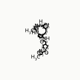 Cc1cc(C(=O)N2CCC(CC(=O)Nc3ccc4cc3CCc3cncc(c3)Nc3ncc(C)c(n3)N4)CC2)no1